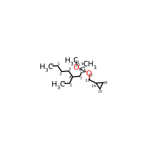 CCCCC(CC)C[Si](C)(OC)OCC1CC1